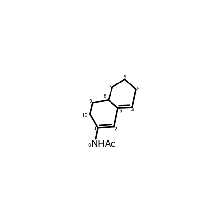 CC(=O)NC1=CC2=CCCCC2CC1